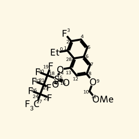 CCc1c(F)ccc2cc(OCOC)cc(OS(=O)(=O)C(F)(F)C(F)(F)C(F)(F)C(F)(F)F)c12